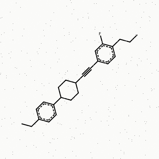 CCCc1ccc(C#CC2CCC(c3ccc(CC)cc3)CC2)cc1F